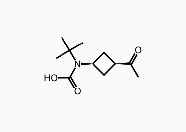 CC(=O)[C@H]1C[C@@H](N(C(=O)O)C(C)(C)C)C1